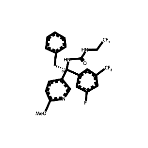 COc1ccc([C@@](Cc2ccccc2)(NC(=O)NCC(F)(F)F)c2cc(F)cc(C(F)(F)F)c2)cn1